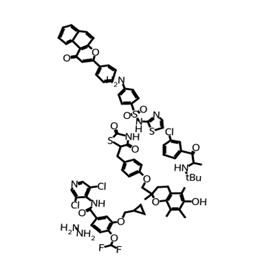 CC(NC(C)(C)C)C(=O)c1cccc(Cl)c1.Cc1c(C)c2c(c(C)c1O)CCC(C)(COc1ccc(CC3SC(=O)NC3=O)cc1)O2.NN.Nc1ccc(S(=O)(=O)Nc2nccs2)cc1.O=C(Nc1c(Cl)cncc1Cl)c1ccc(OC(F)F)c(OCC2CC2)c1.O=c1cc(-c2ccccc2)oc2ccc3ccccc3c12